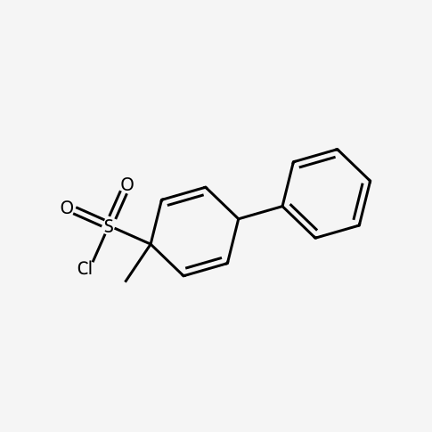 CC1(S(=O)(=O)Cl)C=CC(c2ccccc2)C=C1